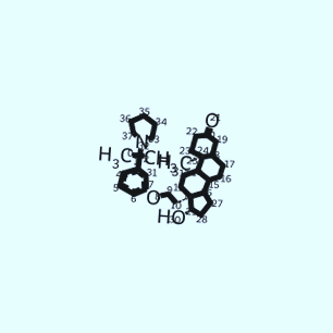 CC(C)(c1cccc(OCC[C@]23CCC4C(CCC5CC(=O)CC[C@@]54C)C2CC[C@@H]3O)c1)N1CCCCC1